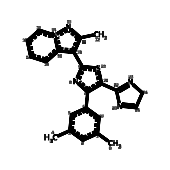 Cc1cc(C)cc(-c2nc(-c3c(C)nn4ccccc34)sc2C2=NCC=N2)c1